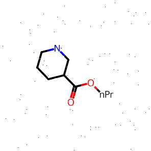 CCCOC(=O)C1CCC[N]C1